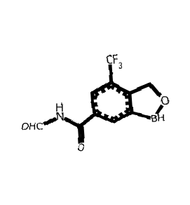 O=CNC(=O)c1cc2c(c(C(F)(F)F)c1)COB2